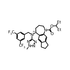 CCC(CC)OC(=O)N1CCC[C@H](N(Cc2cc(C(F)(F)F)cc(C(F)(F)F)c2)c2nnn(C)n2)c2cc3c(cc21)CCC3